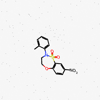 Cc1ccccc1N1CCOc2ccc([N+](=O)[O-])cc2S1(=O)=O